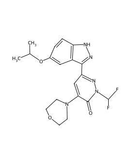 CC(C)Oc1ccc2[nH]nc(-c3cc(N4CCOCC4)c(=O)n(C(F)F)n3)c2c1